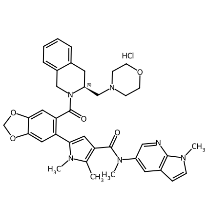 Cc1c(C(=O)N(C)c2cnc3c(ccn3C)c2)cc(-c2cc3c(cc2C(=O)N2Cc4ccccc4C[C@H]2CN2CCOCC2)OCO3)n1C.Cl